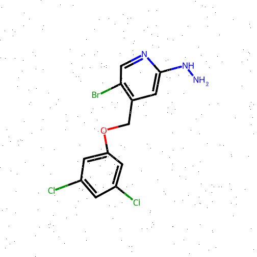 NNc1cc(COc2cc(Cl)cc(Cl)c2)c(Br)cn1